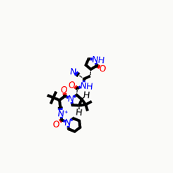 CC(C)(C)C(C#[N+]C(=O)N1CCCCC1)C(=O)N1C[C@H]2[C@@H]([C@H]1C(=O)N[C@H](C#N)C[C@@H]1CCNC1=O)C2(C)C